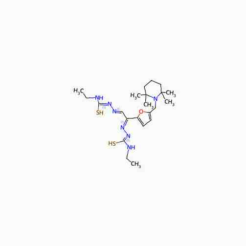 CCN/C(S)=N/N=C(/C=N/N=C(\S)NCC)c1ccc(CN2C(C)(C)CCCC2(C)C)o1